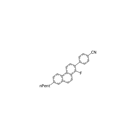 CCCCCc1ccc2c(ccc3c(F)c(-c4ccc(C#N)cc4)ccc32)c1